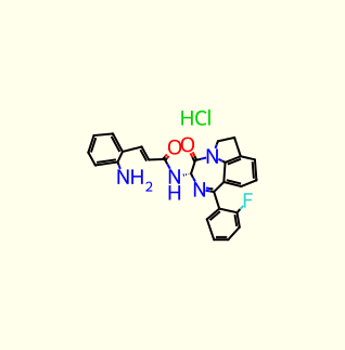 Cl.Nc1ccccc1/C=C/C(=O)N[C@H]1N=C(c2ccccc2F)c2cccc3c2N(CC3)C1=O